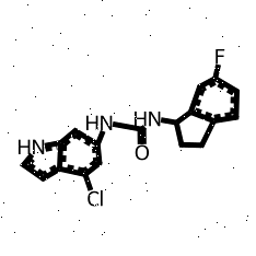 O=C(Nc1cc(Cl)c2cc[nH]c2c1)NC1CCc2ccc(F)cc21